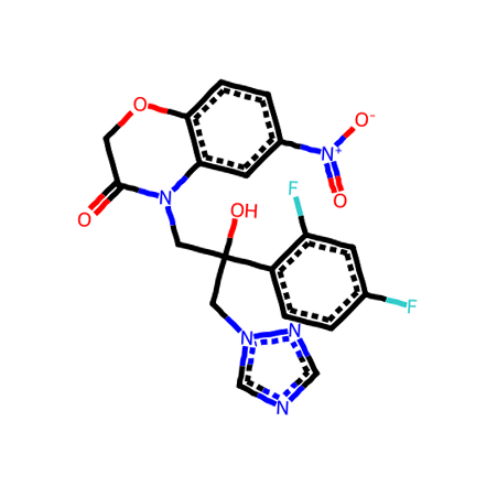 O=C1COc2ccc([N+](=O)[O-])cc2N1CC(O)(Cn1cncn1)c1ccc(F)cc1F